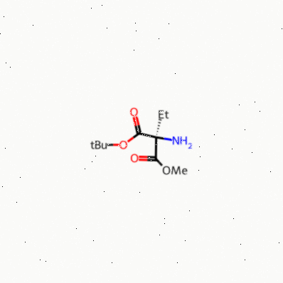 [CH2]C[C@](N)(C(=O)OC)C(=O)OC(C)(C)C